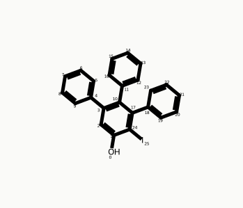 Oc1cc(-c2ccccc2)c(-c2ccccc2)c(-c2ccccc2)c1I